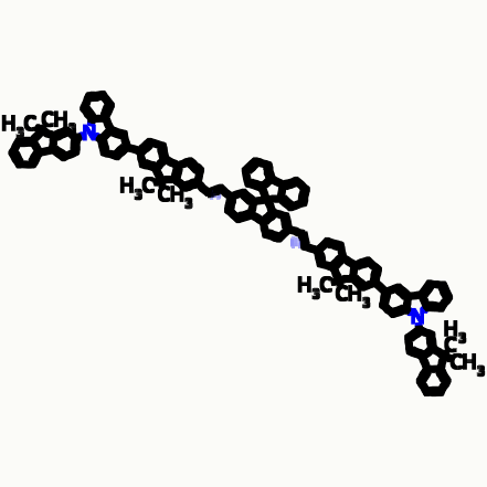 CC1(C)c2cc(/C=C/c3ccc4c(c3)C3(c5ccccc5-c5ccccc53)c3cc(/C=C/c5ccc6c(c5)C(C)(C)c5cc(-c7ccc8c(c7)c7ccccc7n8-c7ccc8c(c7)C(C)(C)c7ccccc7-8)ccc5-6)ccc3-4)ccc2-c2ccc(-c3ccc4c(c3)c3ccccc3n4-c3ccc4c(c3)C(C)(C)c3ccccc3-4)cc21